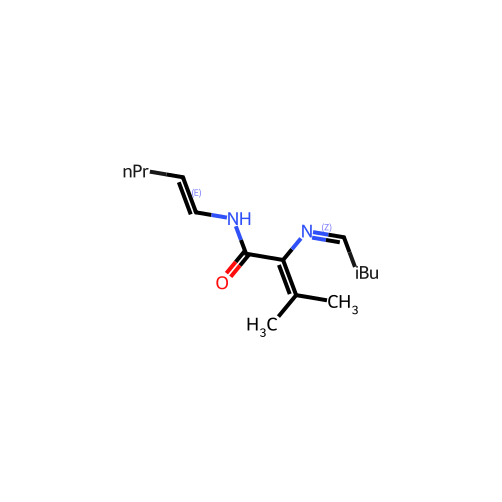 CCC/C=C/NC(=O)C(/N=C\C(C)CC)=C(C)C